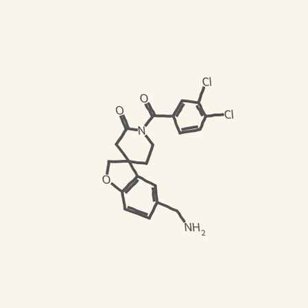 NCc1ccc2c(c1)C1(CCN(C(=O)c3ccc(Cl)c(Cl)c3)C(=O)C1)CO2